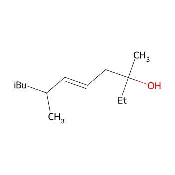 CCC(C)C(C)/C=C/CC(C)(O)CC